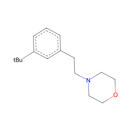 CC(C)(C)c1cccc(CCN2CCOCC2)c1